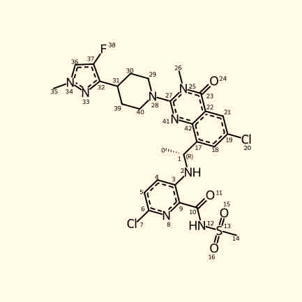 C[C@@H](Nc1ccc(Cl)nc1C(=O)NS(C)(=O)=O)c1cc(Cl)cc2c(=O)n(C)c(N3CCC(c4nn(C)cc4F)CC3)nc12